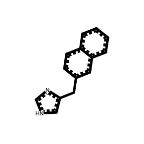 c1ccc2cc(Cc3c[nH]cn3)ccc2c1